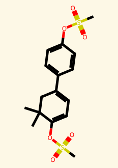 CC1(C)CC(c2ccc(OS(C)(=O)=O)cc2)=CC=C1OS(C)(=O)=O